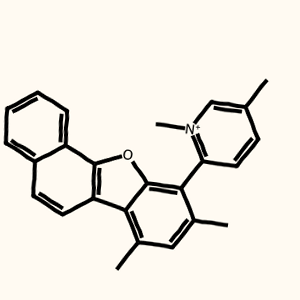 Cc1ccc(-c2c(C)cc(C)c3c2oc2c4ccccc4ccc23)[n+](C)c1